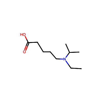 CCN(CCCCC(=O)O)C(C)C